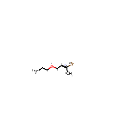 CCCOC/C=C(\C)Br